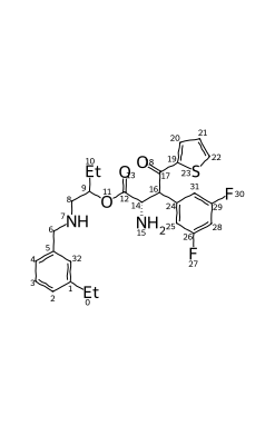 CCc1cccc(CNCC(CC)OC(=O)[C@@H](N)C(C(=O)c2cccs2)c2cc(F)cc(F)c2)c1